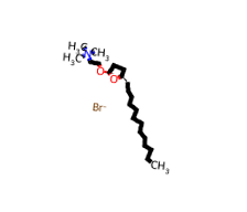 CCCCCCCCCCCCC[C@H]1CC[C@H](OCC[N+](C)(C)C)O1.[Br-]